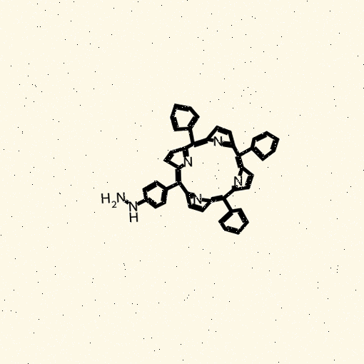 NNc1ccc(C2=C3C=CC(=N3)C(c3ccccc3)=C3C=CC(=N3)C(c3ccccc3)=C3C=CC(=N3)C(c3ccccc3)=C3C=CC2=N3)cc1